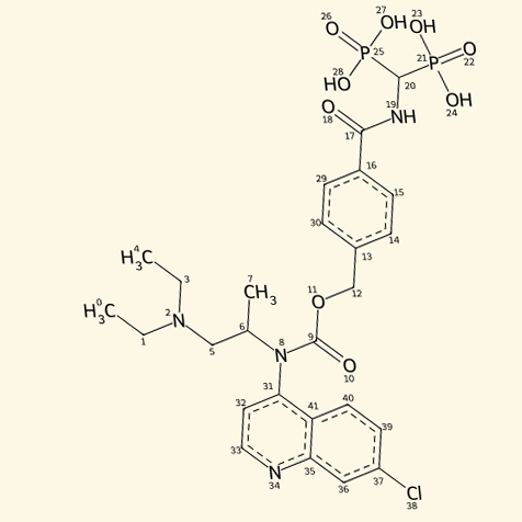 CCN(CC)CC(C)N(C(=O)OCc1ccc(C(=O)NC(P(=O)(O)O)P(=O)(O)O)cc1)c1ccnc2cc(Cl)ccc12